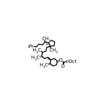 CCCCCCCCC(=O)O[C@H]1CC[C@@H](C)/C(=C\C[C@H](C)C(C)CC[C@@]2(C)CCC[C@@H]2[C@H](C)CCCC(C)C)C1